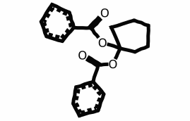 O=C(OC1(OC(=O)c2ccccc2)CCCCC1)c1ccccc1